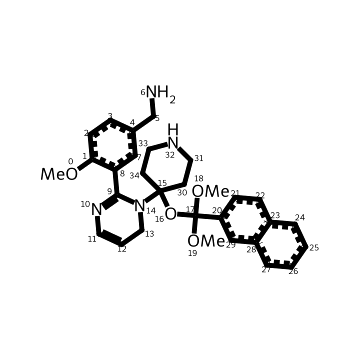 COc1ccc(CN)cc1C1=NC=CCN1C1(OC(OC)(OC)c2ccc3ccccc3c2)CCNCC1